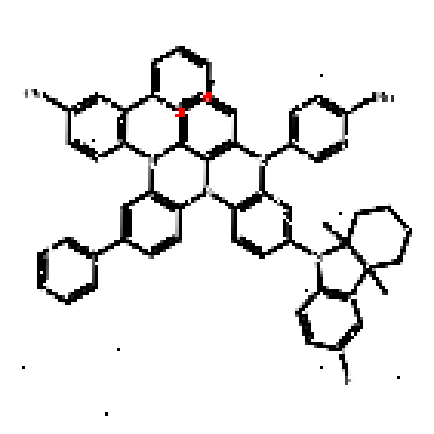 Cc1cc2c3c(c1)N(c1ccc(C(C)(C)C)cc1-c1ccccc1)c1cc(-c4ccccc4)ccc1B3c1ccc(N3c4ccc(F)cc4C4(C)CCCCC34C)cc1N2c1ccc(C(C)(C)C)cc1